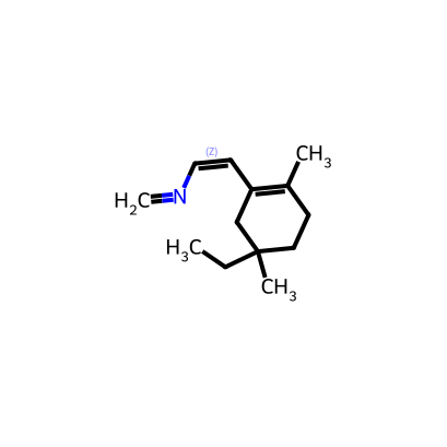 C=N/C=C\C1=C(C)CCC(C)(CC)C1